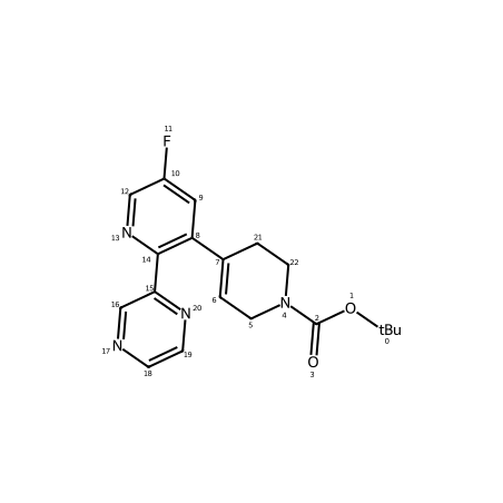 CC(C)(C)OC(=O)N1CC=C(c2cc(F)cnc2-c2cnccn2)CC1